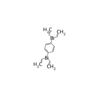 C=[CH][Bi]([CH]=C)[c]1cc[c]([Bi]([CH]=C)[CH]=C)cc1